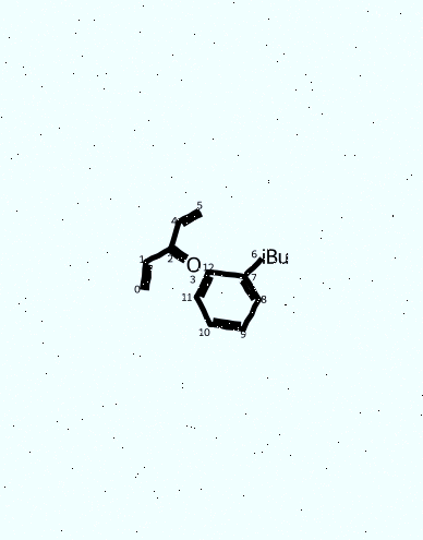 C=CC(=O)C=C.CCC(C)c1ccccc1